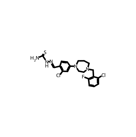 NC(=S)NN=Cc1ccc(N2CCCN(Cc3c(F)cccc3Cl)CC2)cc1Cl